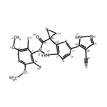 COc1cc(OC)c(F)c(N2Nc3ccc(-c4[nH]ncc4C#N)cc3C3(CC3)C2=O)c1F